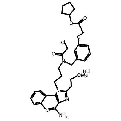 COCCc1nc2c(N)nc3ccccc3c2n1CCCN(Cc1cccc(OCC(=O)OC2CCCC2)c1)C(=O)CCl.Cl